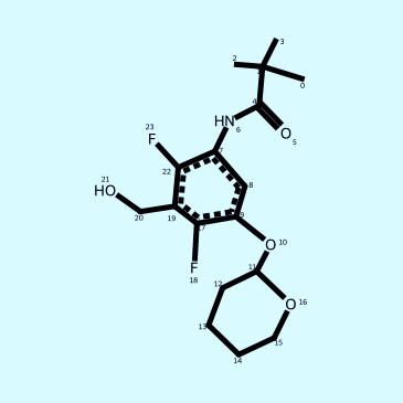 CC(C)(C)C(=O)Nc1cc(OC2CCCCO2)c(F)c(CO)c1F